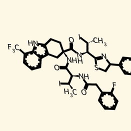 C[C@@H](I)[C@H](NC(=O)Cc1ccccc1F)C(=O)N[C@]1(C(=O)N[C@H](C2=NC(c3ccccc3)CS2)[C@@H](C)I)CCc2[nH]c3c(C(F)(F)F)cccc3c2C1